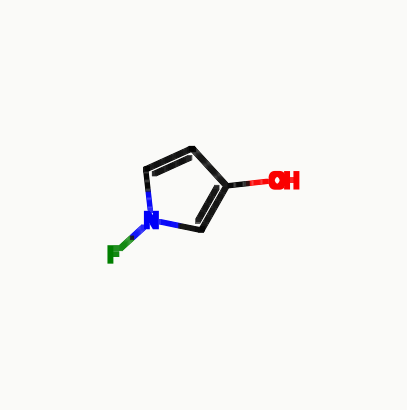 Oc1ccn(F)c1